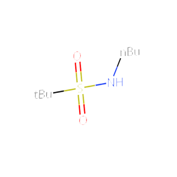 [CH2]CCCNS(=O)(=O)C(C)(C)C